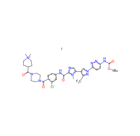 Cn1c(-c2cn(-c3ccc(NC(=O)OC(C)(C)C)nn3)nc2C(F)(F)F)cnc1C(=O)Nc1ccc(C(=O)N2CCN(C(=O)C3CC[N+](C)(C)CC3)CC2)c(Cl)c1.[I-]